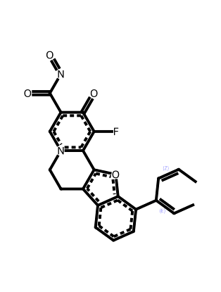 C/C=C\C(=C/C)c1cccc2c3c(oc12)-c1c(F)c(=O)c(C(=O)N=O)cn1CC3